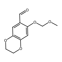 COCOc1cc2c(cc1C=O)OCCO2